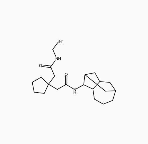 CC(C)CNC(=O)CC1(CC(=O)NC2C3CC4CCCC2C(C4)C3)CCCC1